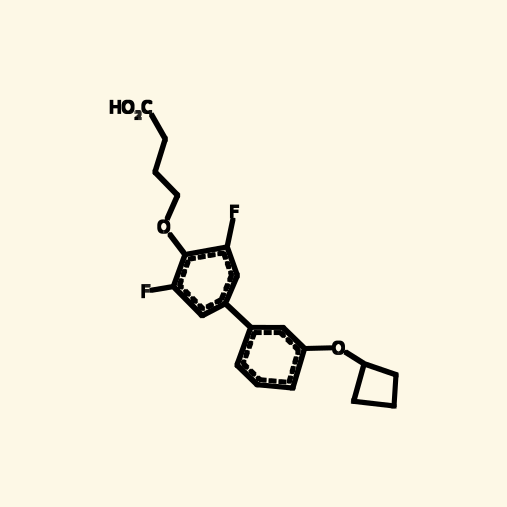 O=C(O)CCCOc1c(F)cc(-c2cccc(OC3CCC3)c2)cc1F